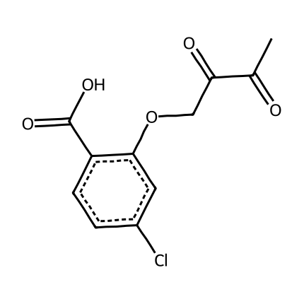 CC(=O)C(=O)COc1cc(Cl)ccc1C(=O)O